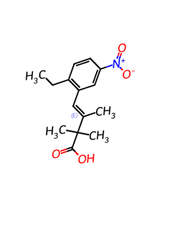 CCc1ccc([N+](=O)[O-])cc1/C=C(\C)C(C)(C)C(=O)O